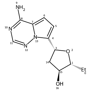 CC[C@H]1O[C@@H](c2ccc3c(N)ncnn23)C[C@@H]1O